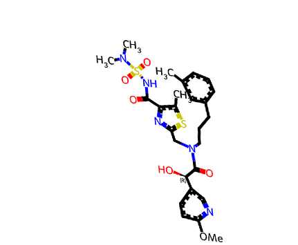 COc1ccc([C@@H](O)C(=O)N(CCCc2cccc(C)c2)Cc2nc(C(=O)NS(=O)(=O)N(C)C)c(C)s2)cn1